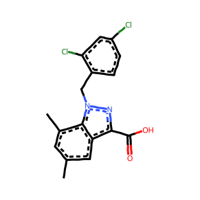 Cc1cc(C)c2c(c1)c(C(=O)O)nn2Cc1ccc(Cl)cc1Cl